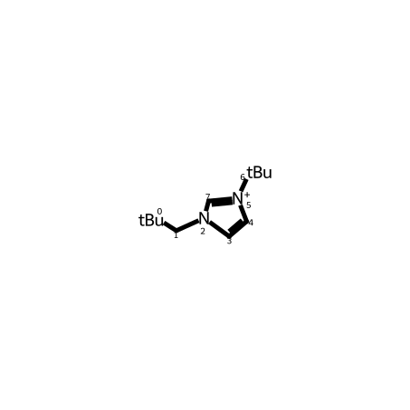 CC(C)(C)Cn1cc[n+](C(C)(C)C)c1